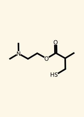 CC(CS)C(=O)OCCN(C)C